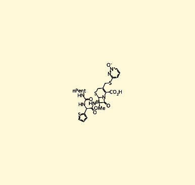 CCCCCNC(=O)NC(C(=O)N[C@@]1(OC)C(=O)N2C(C(=O)O)=C(CSc3ccc[n+]([O-])n3)CSC21)c1cccs1